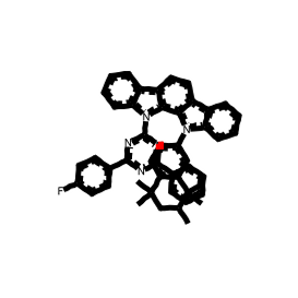 CC1CC(C)(C)c2ccc(-n3c4ccccc4c4ccc5c6ccccc6n(-c6nc(-c7ccccc7)nc(-c7ccc(F)cc7)n6)c5c43)cc2C1(C)C